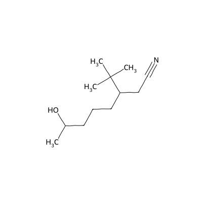 CC(O)CCCC(CC#N)C(C)(C)C